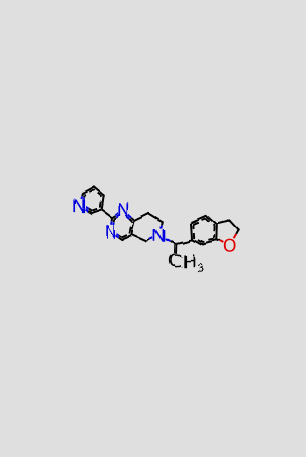 CC(c1ccc2c(c1)OCC2)N1CCc2nc(-c3cccnc3)ncc2C1